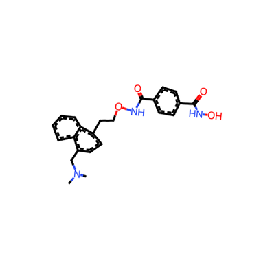 CN(C)Cc1ccc(CCONC(=O)c2ccc(C(=O)NO)cc2)c2ccccc12